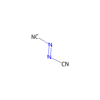 N#CN=NC#N